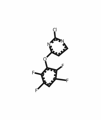 Fc1cc(F)c(F)c(Oc2ccnc(Cl)n2)c1F